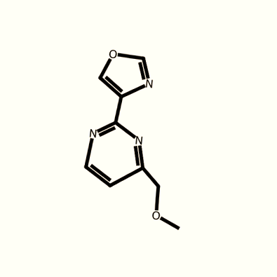 COCc1ccnc(-c2cocn2)n1